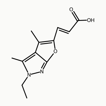 CCn1nc2oc(/C=C/C(=O)O)c(C)c2c1C